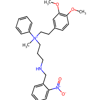 COc1ccc(CC[N+](C)(CCCNCc2ccccc2[N+](=O)[O-])c2ccccc2)cc1OC